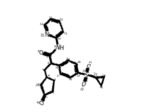 O=C1CCC(CC(C(=O)Nc2ccccn2)c2ccc(S(=O)(=O)C3CC3)cc2)C1